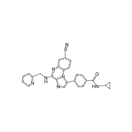 N#Cc1ccc2c(c1)nc(NCc1ccccn1)c1ncc(-c3ccc(C(=O)NC4CC4)cc3)n12